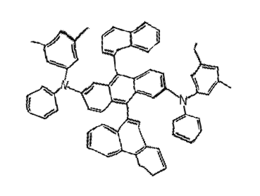 Cc1cc(C)cc(N(c2ccccc2)c2ccc3c(-c4cc5c(c6ccccc46)CCC=C5)c4cc(N(c5ccccc5)c5cc(C)cc(C)c5)ccc4c(-c4cccc5ccccc45)c3c2)c1